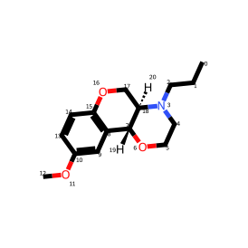 CCCN1CCO[C@@H]2c3cc(OC)ccc3OC[C@H]21